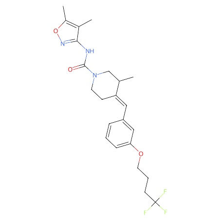 Cc1onc(NC(=O)N2CC/C(=C\c3cccc(OCCCC(F)(F)F)c3)C(C)C2)c1C